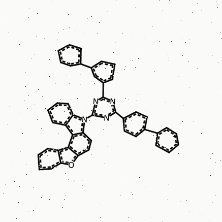 c1ccc(-c2ccc(-c3nc(-c4cccc(-c5ccccc5)c4)nc(-n4c5ccccc5c5c6c(ccc54)oc4ccccc46)n3)cc2)cc1